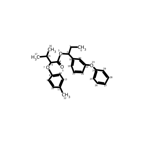 CCC(OC(=O)C(Oc1ccc(C)cc1)C(C)C)c1cccc(Oc2ccccc2)c1